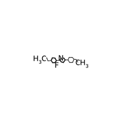 CCCc1ccc(-c2ccc(C3CCC(CC)CC3)cn2)c(F)c1